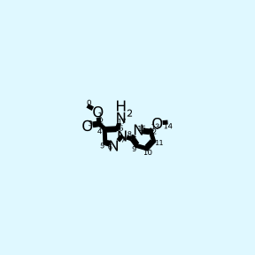 COC(=O)c1cnn(-c2cccc(OC)n2)c1N